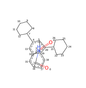 O=C1NC(=O)c2c(C3CCCCC3)cc3cc1ccc3c2C1CCCCC1